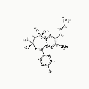 CCCCC1(CCCC)CN(c2ccc(Br)cc2)c2cc(SC)c(OC=CC(=O)O)cc2S(=O)(=O)C1